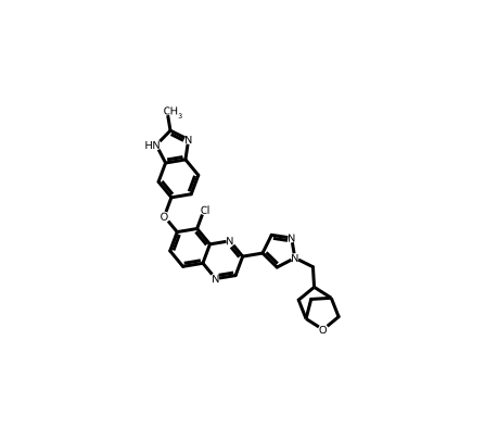 Cc1nc2ccc(Oc3ccc4ncc(-c5cnn(CC6CC7CC6CO7)c5)nc4c3Cl)cc2[nH]1